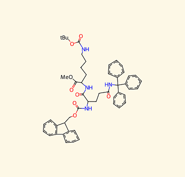 COC(=O)C(CCCCNC(=O)OC(C)(C)C)NC(=O)C(CCC(=O)NC(c1ccccc1)(c1ccccc1)c1ccccc1)NC(=O)OCC1c2ccccc2-c2ccccc21